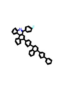 Fc1ccc(-c2nc3ccccc3c3c2cc(-c2ccc(-c4ccc(-c5ccc(-c6ccccc6)cc5)c5ccccc45)cc2)c2ccccc23)cc1